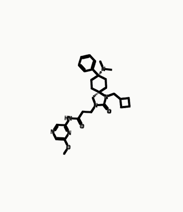 COc1cncc(NC(=O)CCN2C[C@]3(CC[C@@](c4ccccc4)(N(C)C)CC3)N(CC3CCC3)C2=O)n1